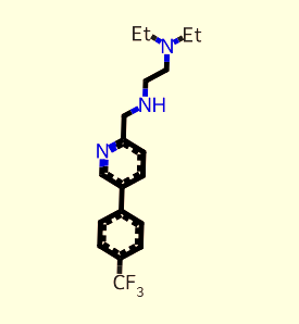 CCN(CC)CCNCc1ccc(-c2ccc(C(F)(F)F)cc2)cn1